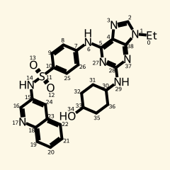 CCn1cnc2c(Nc3ccc(S(=O)(=O)Nc4cnc5ccccc5c4)cc3)nc(NC3CCC(O)CC3)nc21